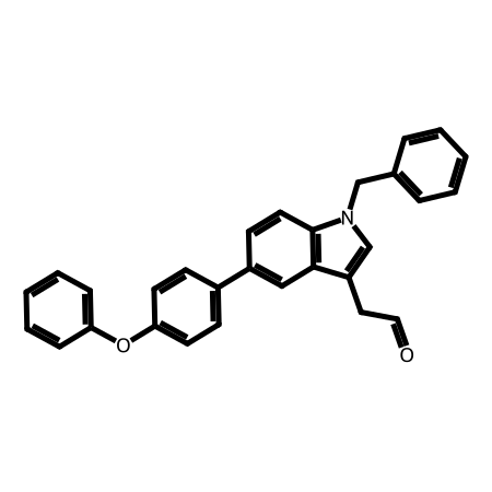 O=CCc1cn(Cc2ccccc2)c2ccc(-c3ccc(Oc4ccccc4)cc3)cc12